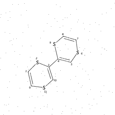 C1=CSC(C2=CSC=CS2)=CS1